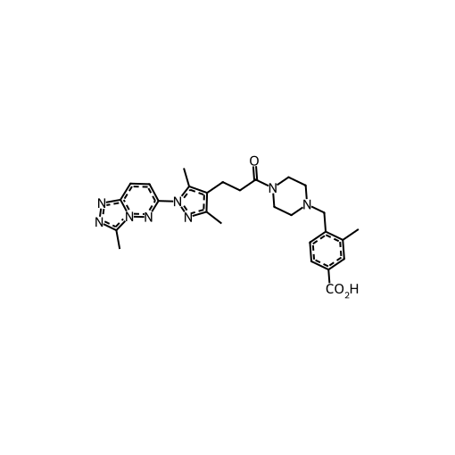 Cc1cc(C(=O)O)ccc1CN1CCN(C(=O)CCc2c(C)nn(-c3ccc4nnc(C)n4n3)c2C)CC1